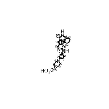 O=C(O)CN1CCN(c2ccc(Nc3ncc4cc5n(c4n3)C3(CCCCC3)CNC5=O)nc2)CC1